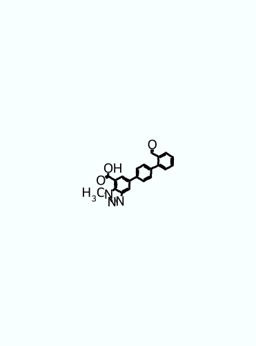 Cn1nnc2cc(-c3ccc(-c4ccccc4C=O)cc3)cc(C(=O)O)c21